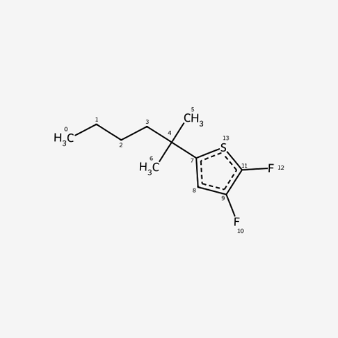 CCCCC(C)(C)c1cc(F)c(F)s1